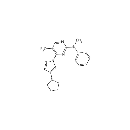 CN(c1ccccc1)c1ncc(C(F)(F)F)c(-n2cc(N3CCCC3)cn2)n1